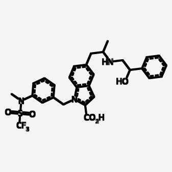 CC(Cc1ccc2c(c1)cc(C(=O)O)n2Cc1cccc(N(C)S(=O)(=O)C(F)(F)F)c1)NCC(O)c1ccccc1